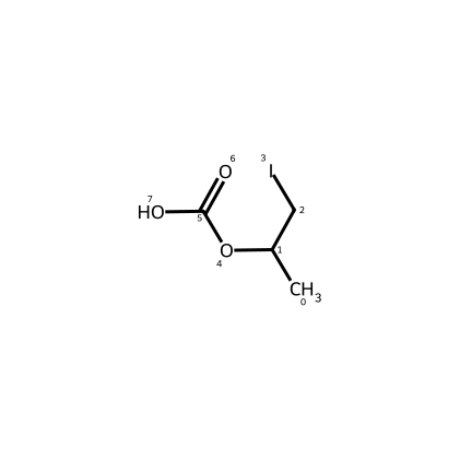 CC(CI)OC(=O)O